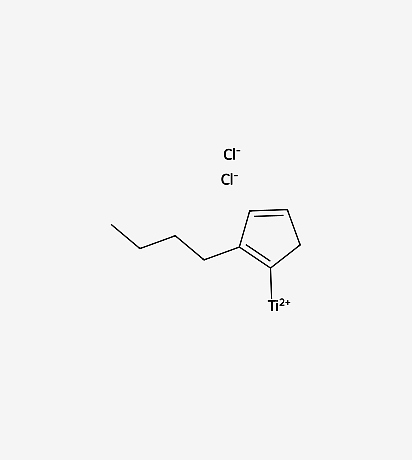 CCCCC1=[C]([Ti+2])CC=C1.[Cl-].[Cl-]